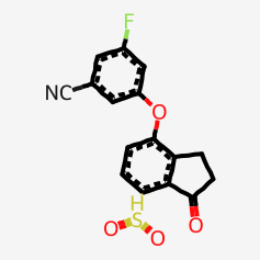 N#Cc1cc(F)cc(Oc2ccc([SH](=O)=O)c3c2CCC3=O)c1